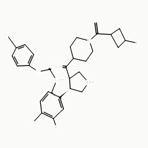 CCN(C(=O)Oc1ccc(F)cc1)[C@]1(C(=O)C2CCN(C(=O)C3CC(F)C3)CC2)CNC[C@H]1c1ccc(Cl)c(F)c1